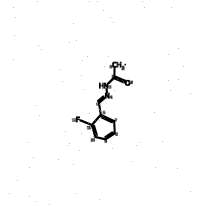 [CH2]C(=O)NN=Cc1ccccc1F